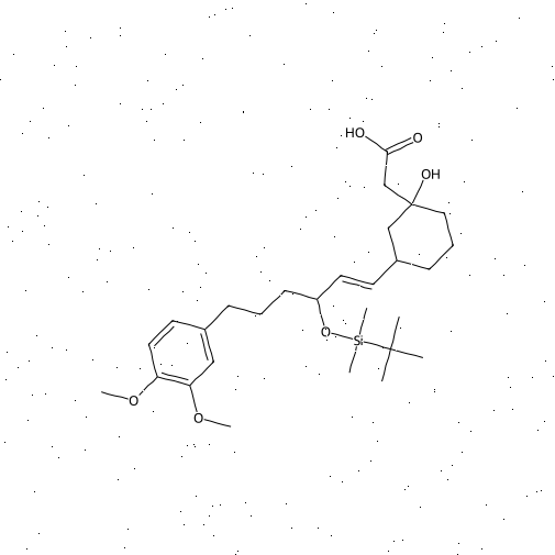 COc1ccc(CCCC(C=CC2CCCC(O)(CC(=O)O)C2)O[Si](C)(C)C(C)(C)C)cc1OC